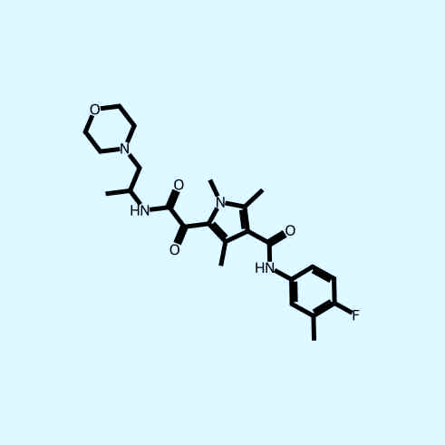 Cc1cc(NC(=O)c2c(C)c(C(=O)C(=O)NC(C)CN3CCOCC3)n(C)c2C)ccc1F